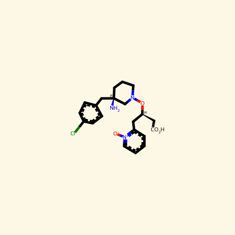 N[C@@]1(Cc2ccc(Cl)cc2)CCCN(O[C@@H](CC(=O)O)Cc2cccc[n+]2[O-])C1